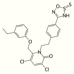 CCc1cccc(OCc2c(Cl)cc(Cl)c(=O)n2CCc2ccc(C3=NOS(=S)N3)cc2)c1